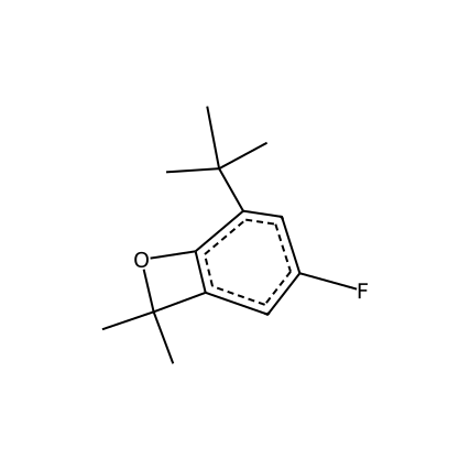 CC(C)(C)c1cc(F)cc2c1OC2(C)C